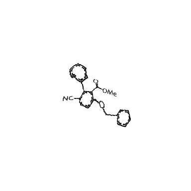 COC(=O)c1c(OCc2ccccc2)ccc(C#N)c1-c1ccccc1